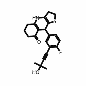 CC(C)(O)C#Cc1cc(C2C3=C(CCS3)NC3=C2C(=O)CCC3)ccc1F